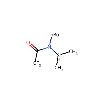 CCCCN(C(=O)C(F)(F)F)[SiH](C)C